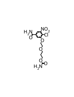 NC(=O)OCCCOCCOc1cc(C(N)=O)cc([N+](=O)[O-])c1Cl